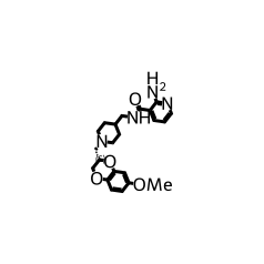 COc1ccc2c(c1)O[C@@H](CN1CCC(CNC(=O)c3cccnc3N)CC1)CO2